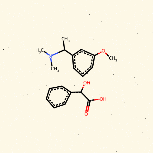 COc1cccc(C(C)N(C)C)c1.O=C(O)C(O)c1ccccc1